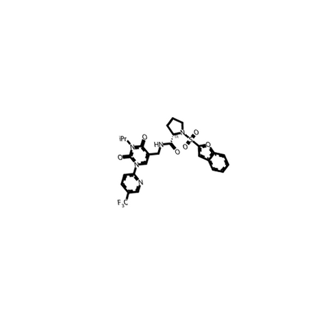 CC(C)n1c(=O)c(CNC(=O)[C@@H]2CCCN2S(=O)(=O)c2cc3ccccc3o2)cn(-c2ccc(C(F)(F)F)cn2)c1=O